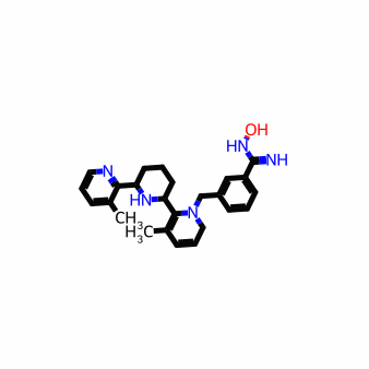 CC1=C(C2CCCC(c3ncccc3C)N2)N(Cc2cccc(C(=N)NO)c2)CC=C1